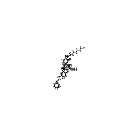 CCCCCCCSc1nc2ccc(S(=O)(=O)N[C@H](CC3=CC=C(CCCc4ccccc4)CC3=O)C(=O)O)cc2s1